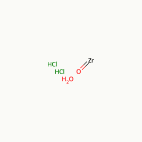 Cl.Cl.O.[O]=[Zr]